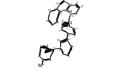 Brc1cccc(-c2cccc(-c3ccc([SH]4CC=Cc5ccc6ccccc6c54)cc3)c2)c1